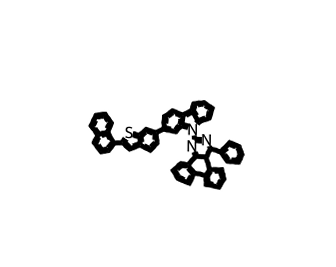 c1ccc(C2N=C(n3c4ccccc4c4ccc(-c5ccc6cc(-c7cccc8ccccc78)sc6c5)cc43)N=C3c4ccccc4-c4ccccc4C32)cc1